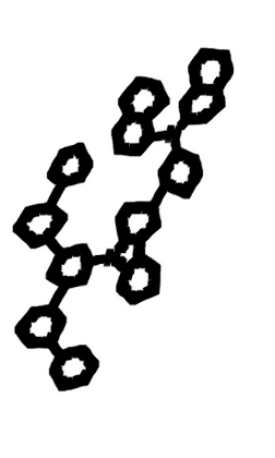 c1ccc(-c2cccc(-c3cc(-c4cccc(-c5ccccc5)c4)cc(-n4c5ccccc5c5cc(-c6cccc(N(c7ccc8ccccc8c7)c7cccc8ccccc78)c6)ccc54)c3)c2)cc1